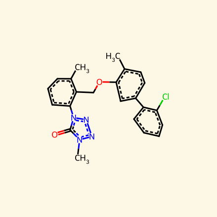 Cc1ccc(-c2ccccc2Cl)cc1OCc1c(C)cccc1-n1nnn(C)c1=O